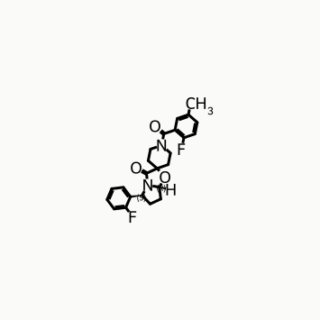 Cc1ccc(F)c(C(=O)N2CCC3(CC2)O[C@@H]2CC[C@@H](c4ccccc4F)N2C3=O)c1